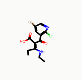 CCNC(CC)=C(C(=O)O)C(=O)c1cc(Br)cnc1Cl